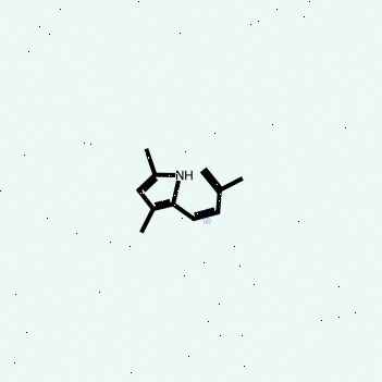 C=C(C)/C=C\c1[nH]c(C)cc1C